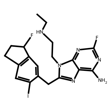 CCNCCn1c(Cc2cc3c(cc2I)CCC3F)nc2c(N)nc(F)nc21